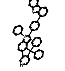 c1ccc(-n2c(-c3ccc(-c4cccc5c4sc4ccccc45)cc3)cc3c4c(ccc32)-c2cnccc2C4(c2ccccc2)c2ccccc2)cc1